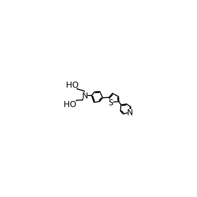 OCCN(CCO)c1ccc(-c2ccc(-c3ccncc3)s2)cc1